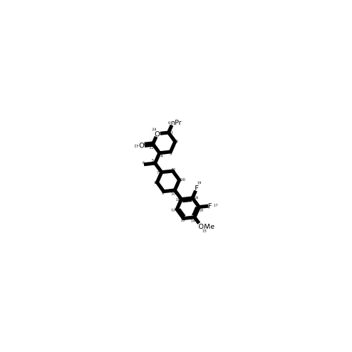 CCCC1CCC(C(C)C2CCC(c3ccc(OC)c(F)c3F)CC2)C(=O)O1